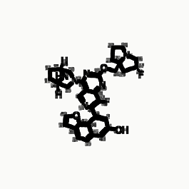 Oc1cc(-c2ncc3c(N4C[C@H]5CC[C@@H](C4)N5)nc(OC[C@@]45CCCN4C[C@H](F)C5)nc3c2F)c2c(ccc3ccoc32)c1